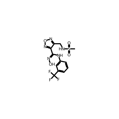 CS(=O)(=O)NCc1nonc1/C(=N/O)Nc1cccc(C(F)(F)F)c1